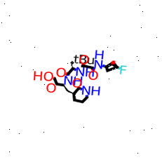 CC(C)(C)C[C@H](NC(=O)C(=O)NC12CC(F)(C1)C2)C(=O)N[C@@H](C[C@@H]1CCCNC1=O)C(=O)CO